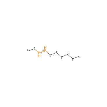 CCCCCCPPCC